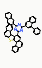 c1ccc(-c2cc(-c3nc(-c4ccc5ccccc5c4)nc(-c4cc5ccc6ccccc6c5c5sc6ccc7ccccc7c6c45)n3)cc3ccccc23)cc1